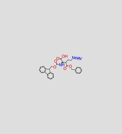 [N-]=[N+]=NCCC(C(=O)OCc1ccccc1)[C@@H](NC(=O)OCC1c2ccccc2-c2ccccc21)C(=O)O